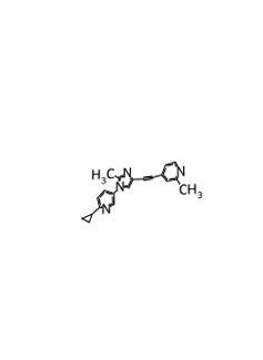 Cc1cc(C#Cc2cn(-c3ccc(C4CC4)nc3)c(C)n2)ccn1